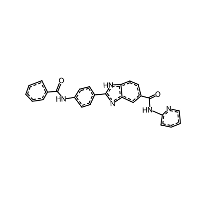 O=C(Nc1ccc(-c2nc3cc(C(=O)Nc4ccccn4)ccc3[nH]2)cc1)c1ccccc1